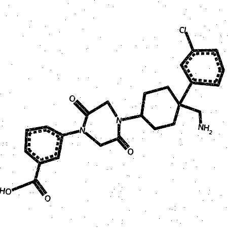 NCC1(c2cccc(Cl)c2)CCC(N2CC(=O)N(c3cccc(C(=O)O)c3)CC2=O)CC1